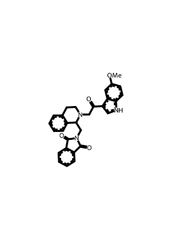 COc1ccc2[nH]cc(C(=O)CN3CCc4ccccc4C3CN3C(=O)c4ccccc4C3=O)c2c1